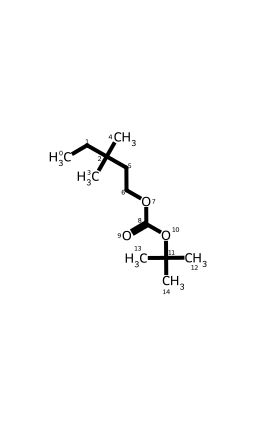 CCC(C)(C)CCOC(=O)OC(C)(C)C